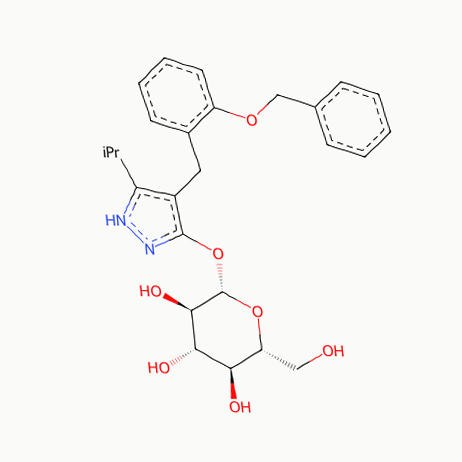 CC(C)c1[nH]nc(O[C@@H]2O[C@H](CO)[C@@H](O)[C@H](O)[C@H]2O)c1Cc1ccccc1OCc1ccccc1